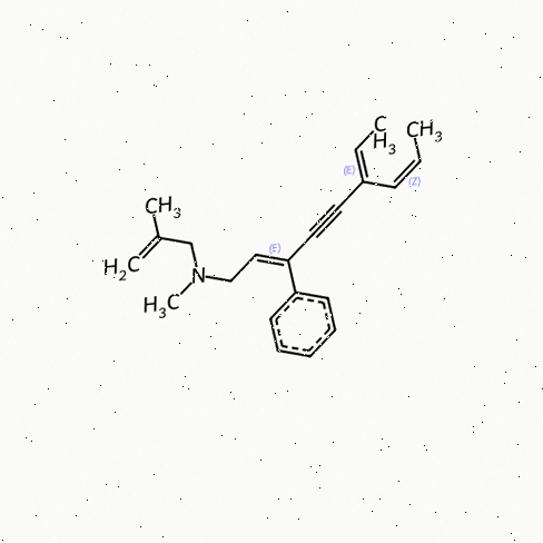 C=C(C)CN(C)C/C=C(/C#CC(/C=C\C)=C/C)c1ccccc1